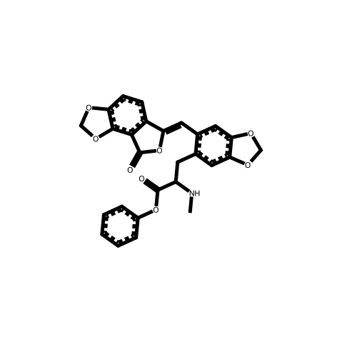 CNC(Cc1cc2c(cc1C=C1OC(=O)c3c1ccc1c3OCO1)OCO2)C(=O)Oc1ccccc1